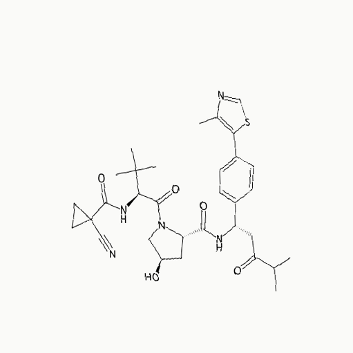 Cc1ncsc1-c1ccc([C@H](CC(=O)C(C)C)NC(=O)[C@@H]2C[C@@H](O)CN2C(=O)[C@@H](NC(=O)C2(C#N)CC2)C(C)(C)C)cc1